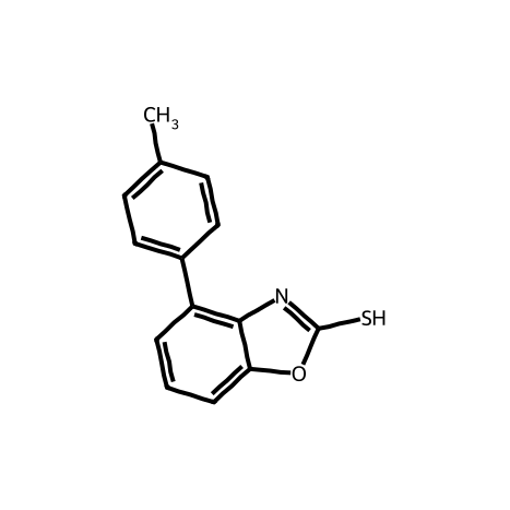 Cc1ccc(-c2cccc3oc(S)nc23)cc1